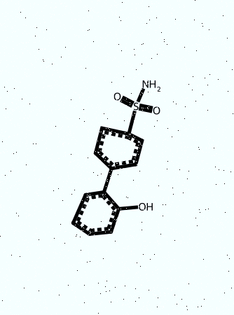 NS(=O)(=O)c1ccc(-c2ccccc2O)cc1